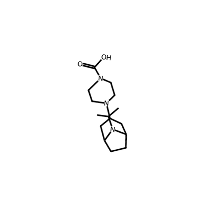 CC(C)N1C2CCC1CC(N1CCN(C(=O)O)CC1)C2